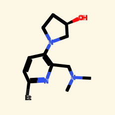 CCc1ccc(N2CC[C@@H](O)C2)c(CN(C)C)n1